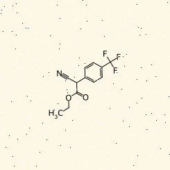 CCOC(=O)C(C#N)c1ccc(C(F)(F)F)cc1